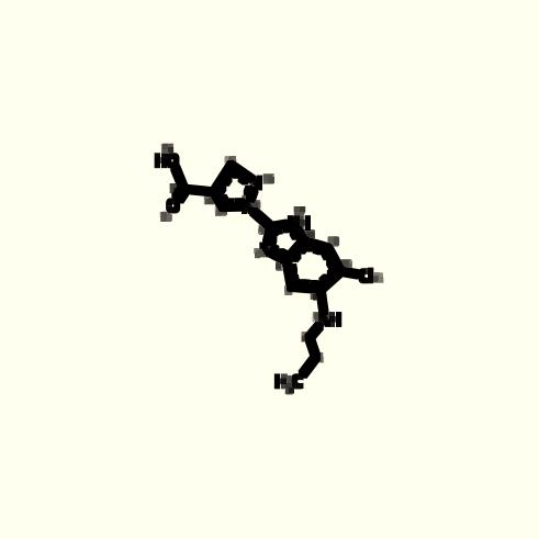 CCCNc1cc2nc(-n3cc(C(=O)O)cn3)[nH]c2cc1Cl